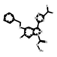 CC(C)(C)OC(=O)n1nc(-c2nnc(C(F)F)s2)c2cc(SCc3ccccc3)c(F)cc21